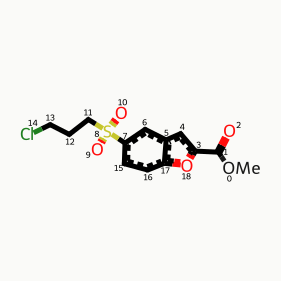 COC(=O)c1cc2cc(S(=O)(=O)CCCCl)ccc2o1